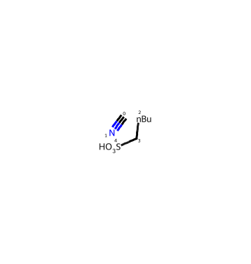 C#N.CCCCCS(=O)(=O)O